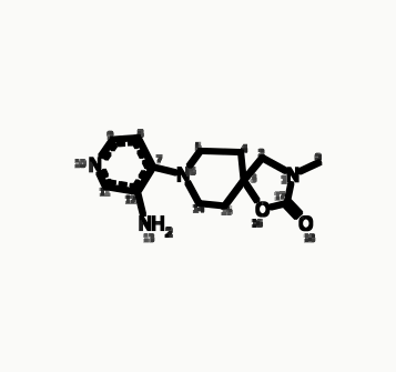 CN1CC2(CCN(c3ccncc3N)CC2)OC1=O